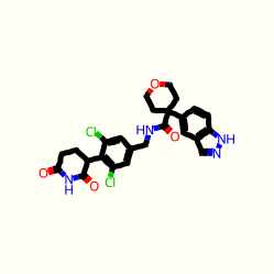 O=C1CCC(c2c(Cl)cc(CNC(=O)C3(c4ccc5[nH]ncc5c4)CCOCC3)cc2Cl)C(=O)N1